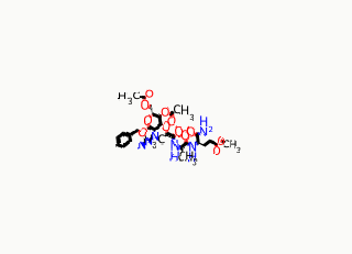 COC(=O)CC[C@@H](NC(=O)[C@H](C)NC(=O)[C@@H](C)O[C@@H]1[C@@H](N=[N+]=[N-])[C@@H](OCc2ccccc2)O[C@H](COC(C)=O)[C@H]1OC(C)=O)C(N)=O